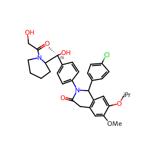 COc1cc2c(cc1OC(C)C)C(c1ccc(Cl)cc1)N(c1ccc([C@](C)(O)C3CCCCN3C(=O)CO)cc1)C(=O)C2